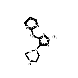 Cl.c1cnc(Nc2nsnc2N2CCNCC2)nc1